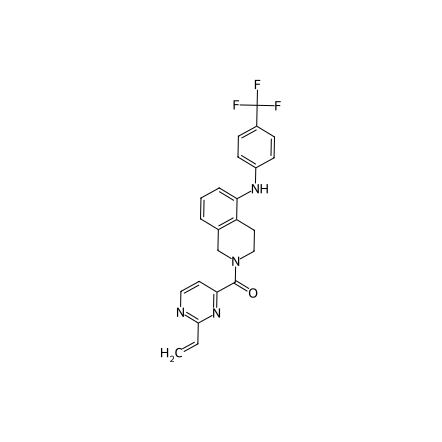 C=Cc1nccc(C(=O)N2CCc3c(cccc3Nc3ccc(C(F)(F)F)cc3)C2)n1